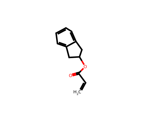 C=CC(=O)OC1Cc2ccccc2C1